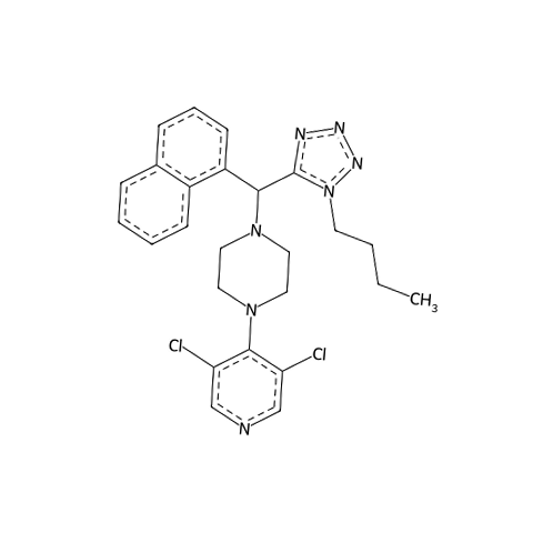 CCCCn1nnnc1C(c1cccc2ccccc12)N1CCN(c2c(Cl)cncc2Cl)CC1